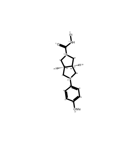 CCNC(=O)N1C[C@@H]2CN(c3ccc(OC)cc3)C[C@@H]2C1